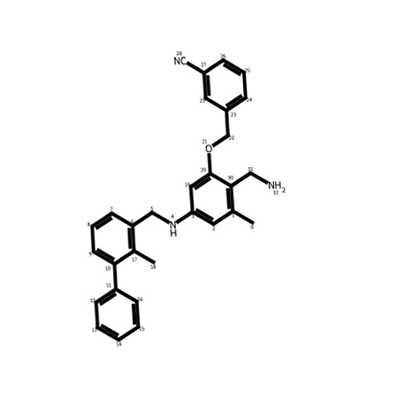 Cc1cc(NCc2cccc(-c3ccccc3)c2C)cc(OCc2cccc(C#N)c2)c1CN